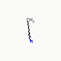 CCCCCCCCC=C/C=C/C#N